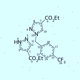 CCOC(=O)c1cn[nH]c1.CCOC(=O)c1cnn(Cc2ccc(C(F)(F)F)cc2)c1